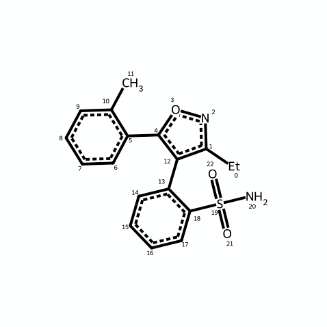 CCc1noc(-c2ccccc2C)c1-c1ccccc1S(N)(=O)=O